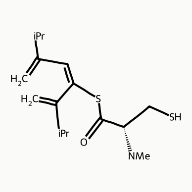 C=C(/C=C(/SC(=O)[C@H](CS)NC)C(=C)C(C)C)C(C)C